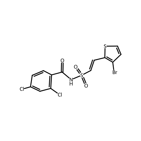 O=C(NS(=O)(=O)/C=C/c1sccc1Br)c1ccc(Cl)cc1Cl